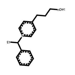 CCCCCCCCCCCCCc1cc[n+](C(CC)c2ccccc2)cc1